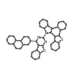 c1ccc2c(c1)ccc1cc(-c3nc(-n4c5ccccc5c5c6ccccc6c6sc7ccccc7c6c54)nc4oc5ccccc5c34)ccc12